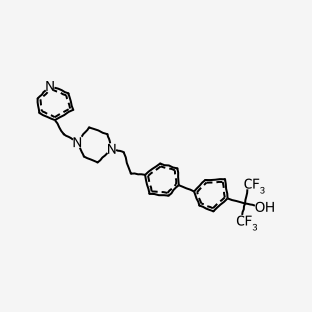 OC(c1ccc(-c2ccc(CCN3CCN(Cc4ccncc4)CC3)cc2)cc1)(C(F)(F)F)C(F)(F)F